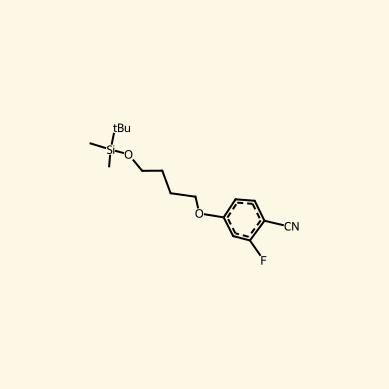 CC(C)(C)[Si](C)(C)OCCCCOc1ccc(C#N)c(F)c1